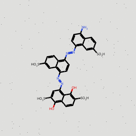 Nc1ccc(N=Nc2ccc(N=Nc3cc(S(=O)(=O)O)c(O)c4ccc(S(=O)(=O)O)c(O)c34)c3cc(S(=O)(=O)O)ccc23)c2cc(S(=O)(=O)O)ccc12